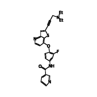 CCN(CC)CC#Cc1cc2nccc(Oc3ccc(NC(=O)c4cccnc4)cc3F)c2s1